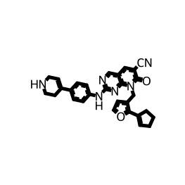 N#Cc1cc2cnc(Nc3ccc(C4=CCNCC4)cc3)nc2n(Cc2ccoc2C2=CCCC2)c1=O